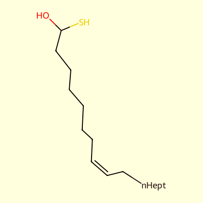 CCCCCCCC/C=C\CCCCCCC(O)S